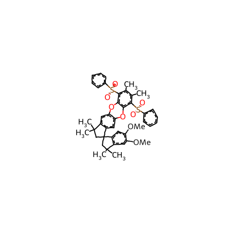 COc1cc2c(cc1OC)C1(CC2(C)C)CC(C)(C)c2cc3c(cc21)Oc1c(c(S(=O)(=O)c2ccccc2)c(C)c(C)c1S(=O)(=O)c1ccccc1)O3